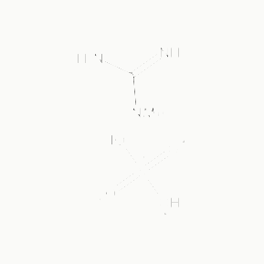 CNC(=N)N.O=S(=O)(O)O